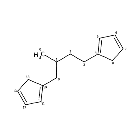 CC(CCC1=CC=CC1)CC1=CC=CC1